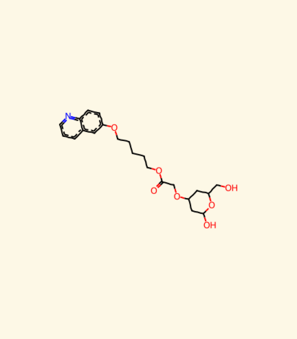 O=C(COC1CC(O)OC(CO)C1)OCCCCCOc1ccc2ncccc2c1